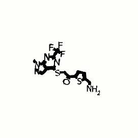 Cn1ncc2c(SCC(=O)c3ccc(CN)s3)nc(C(F)(F)F)nc21